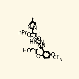 CCCO[C@@H](c1ncc(C)cn1)[C@H](C)S(=O)(=O)Nc1nnc2n1[C@H](CO)COc1ccc(OC(F)(F)F)cc1-2